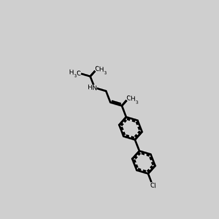 CC(=CCNC(C)C)c1ccc(-c2ccc(Cl)cc2)cc1